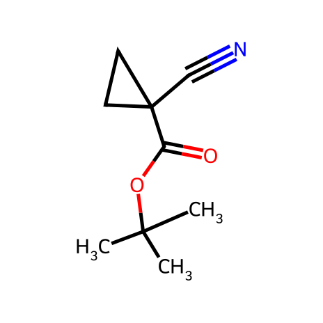 CC(C)(C)OC(=O)C1(C#N)CC1